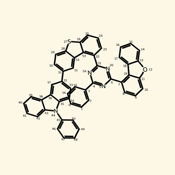 c1ccc(-c2nc(-c3cccc4oc5ccccc5c34)nc(-c3cccc4sc5ccc(-c6ccc7c(c6)c6ccccc6n7-c6ccccc6)cc5c34)n2)cc1